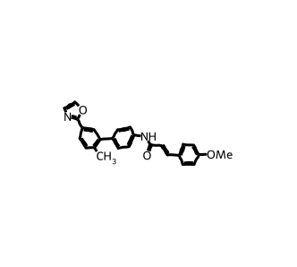 COc1ccc(/C=C/C(=O)Nc2ccc(-c3cc(-c4ncco4)ccc3C)cc2)cc1